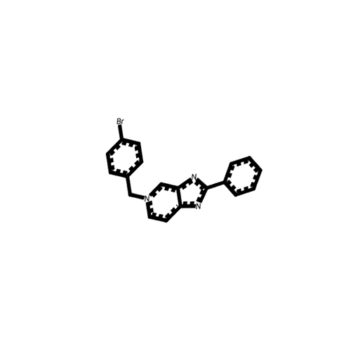 Brc1ccc(Cn2ccc3nc(-c4ccccc4)nc-3c2)cc1